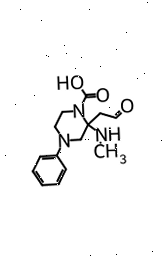 CNC1(CC=O)CN(c2ccccc2)CCN1C(=O)O